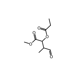 CCC(=O)OC(C(=O)OC)C(C)C=O